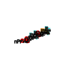 CCCOCC1COC(c2ccc(-c3cc(F)c(C(=O)Oc4ccc(-c5cc(F)c(F)c(F)c5)c(P)c4)c(F)c3)c(F)c2)OC1